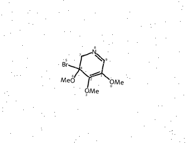 COC1=C(OC)C(Br)(OC)[CH]N=C1